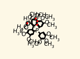 COc1cc(P(c2cc(OC)c(OC)c(OC)c2)c2cc(OC)c(OC)c(OC)c2-c2[c]cc(OC)c(OC)c2OC)cc(OC)c1OC